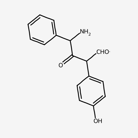 NC(C(=O)C([C]=O)c1ccc(O)cc1)c1ccccc1